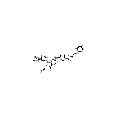 C=CCn1c(=O)c2cnc(Nc3ccc(N(C)CCCNc4ccccc4)cc3)nc2n1-c1cccc(C(C)(C)O)n1